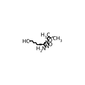 C#CCCCCC#Cc1cn([C@H]2CC(C)[C@@H](CC)O2)c(=O)nc1N